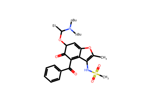 CCCCN(CCCC)C(CC)OC1C=c2oc(C)c(NS(C)(=O)=O)c2=C(C(=O)c2ccccc2)C1=O